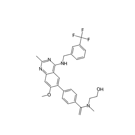 C=C(c1ccc(-c2cc3c(NCc4cccc(C(F)(F)F)c4)nc(C)nc3cc2OC)cc1)N(C)CCO